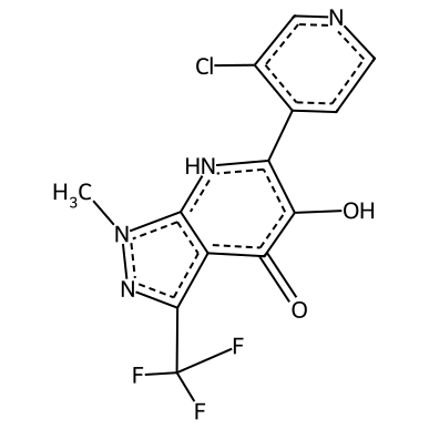 Cn1nc(C(F)(F)F)c2c(=O)c(O)c(-c3ccncc3Cl)[nH]c21